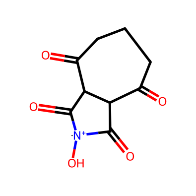 O=C1CCCC(=O)C2C(=O)[N+](O)C(=O)C12